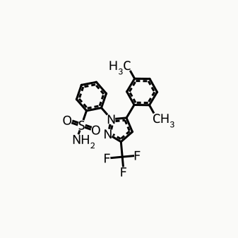 Cc1ccc(C)c(-c2cc(C(F)(F)F)nn2-c2ccccc2S(N)(=O)=O)c1